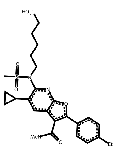 CCc1ccc(-c2oc3nc(N(CCCCCC(=O)O)S(C)(=O)=O)c(C4CC4)cc3c2C(=O)NC)cc1